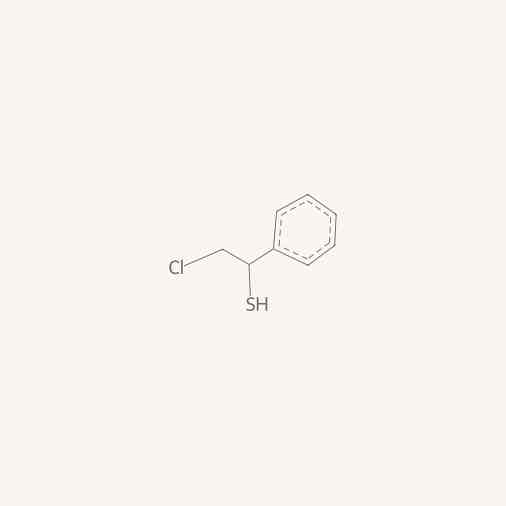 SC(CCl)c1ccccc1